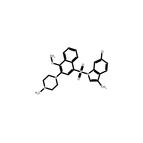 COc1c(N2CCN(C)CC2)cc(S(=O)(=O)n2cc(C)c3ccc(Cl)cc32)c2ccccc12